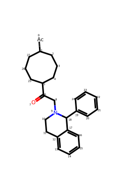 CC(=O)C1CCCC(C(=O)CN2CCc3ccccc3C2c2ccccc2)CCC1